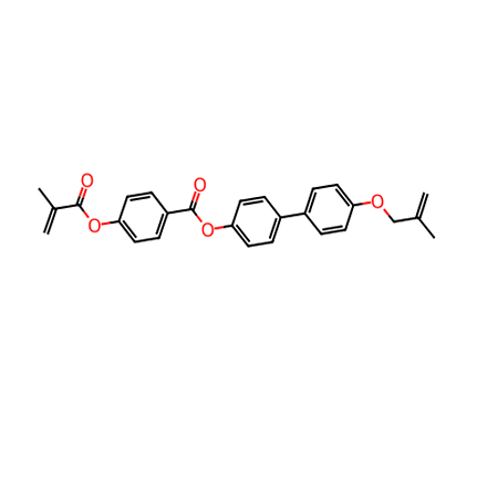 C=C(C)COc1ccc(-c2ccc(OC(=O)c3ccc(OC(=O)C(=C)C)cc3)cc2)cc1